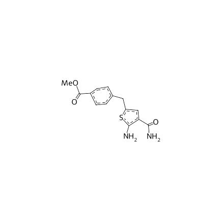 COC(=O)c1ccc(Cc2cc(C(N)=O)c(N)s2)cc1